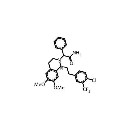 COc1cc2c(cc1OC)[C@H](CCc1ccc(Cl)c(C(F)(F)F)c1)N(C(C(N)=O)c1ccccc1)CC2